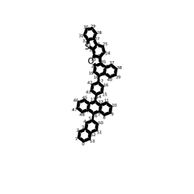 c1ccc2cc(-c3c4ccccc4c(-c4ccc(-c5cc6oc7c(ccc8c9ccccc9sc87)c6c6ccccc56)cc4)c4ccccc34)ccc2c1